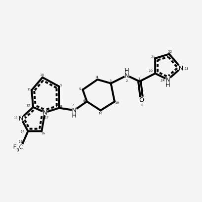 O=C(NC1CCC(Nc2cccc3nc(C(F)(F)F)cn23)CC1)c1ccn[nH]1